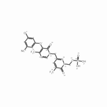 N#Cc1cc(Cl)cc(Oc2c(C(F)(F)F)ncn(Cc3cc(C(F)(F)F)c(=O)n(COP(=O)(O)O)n3)c2=O)c1